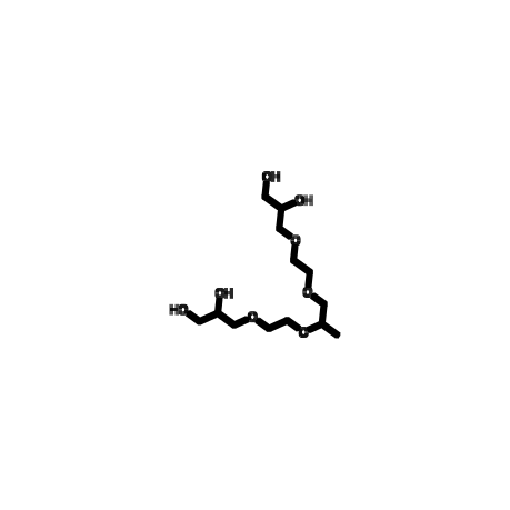 CC(COCCOCC(O)CO)OCCOCC(O)CO